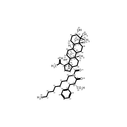 C=C(C)[C@@H]1CC[C@]2(C(=O)N(CCCCCCCCN)C(=O)[C@@H](Cc3ccccc3)C(=O)O)CC[C@]3(C)[C@H](CC[C@H]4[C@@]5(C)CC[C@H](O)C(C)(C)[C@@H]5CC[C@]43C)[C@@H]12